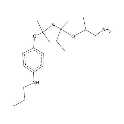 CCCNc1ccc(OC(C)(C)SC(C)(CC)OC(C)CN)cc1